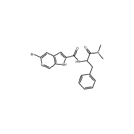 CN(C)C(=O)C(Cc1ccccc1)NC(=O)c1cc2cc(Br)ncc2[nH]1